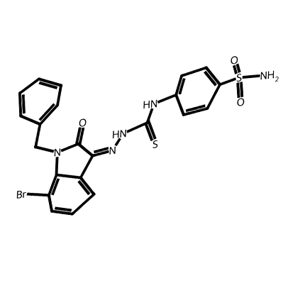 NS(=O)(=O)c1ccc(NC(=S)NN=C2C(=O)N(Cc3ccccc3)c3c(Br)cccc32)cc1